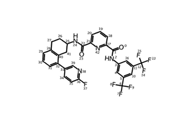 O=C(Nc1cc(C(F)(F)F)cc(C(F)(F)F)c1)c1cccc(C(=O)NC2CCc3cccc(-c4ccc(F)nc4)c3C2)n1